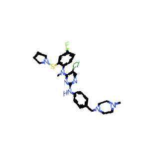 CN1CCN(Cc2ccc(Nc3ncc(Cl)c(N(C)c4ccc(F)cc4SN4CCCC4)n3)cc2)CC1